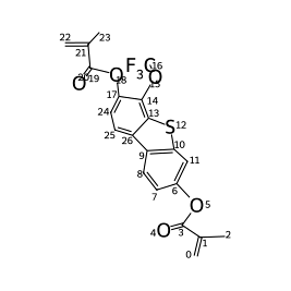 C=C(C)C(=O)Oc1ccc2c(c1)sc1c(OC(F)(F)F)c(OC(=O)C(=C)C)ccc12